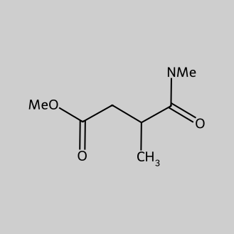 CNC(=O)C(C)CC(=O)OC